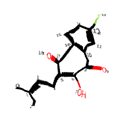 CC(C)=CCC1=C(O)C(=O)c2cc(F)ccc2C1=O